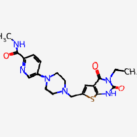 CCn1c(=O)[nH]c2sc(CN3CCN(c4ccc(C(=O)NC)nc4)CC3)cc2c1=O